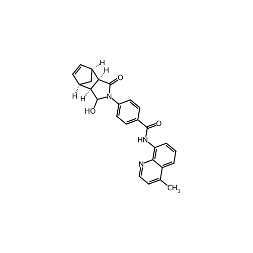 Cc1ccnc2c(NC(=O)c3ccc(N4C(=O)[C@H]5[C@@H](C4O)[C@H]4C=C[C@@H]5C4)cc3)cccc12